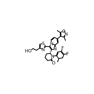 Cc1noc(C)c1-c1ccn2c(-c3nc(CCO)cs3)c([C@@H]3CCCC(=O)N3C3=CC(F)=C(F)CC3C)nc2c1